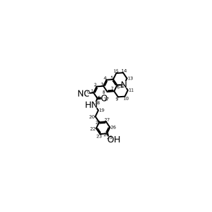 N#C/C(=C/c1cc2c3c(c1)CCCN3CCC2)C(=O)NCCc1ccc(O)cc1